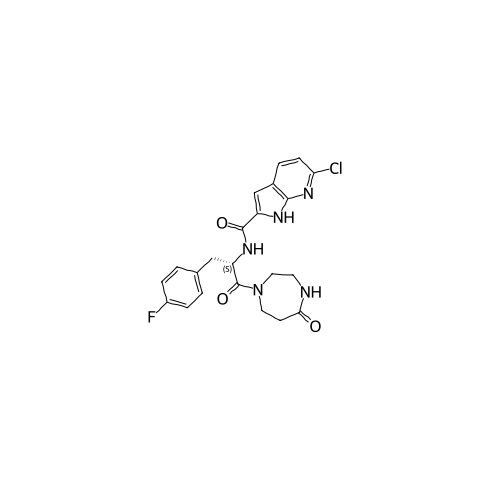 O=C1CCN(C(=O)[C@H](Cc2ccc(F)cc2)NC(=O)c2cc3ccc(Cl)nc3[nH]2)CCN1